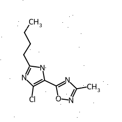 CCCCC1=NC(Cl)=C(c2nc(C)no2)[N]1